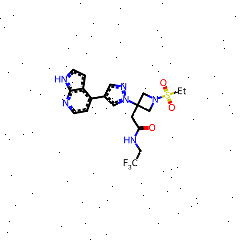 CCS(=O)(=O)N1CC(CC(=O)NCC(F)(F)F)(n2cc(-c3ccnc4[nH]ccc34)cn2)C1